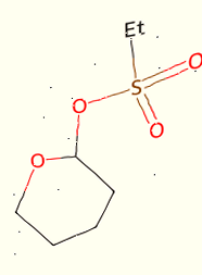 CCS(=O)(=O)OC1CCCCO1